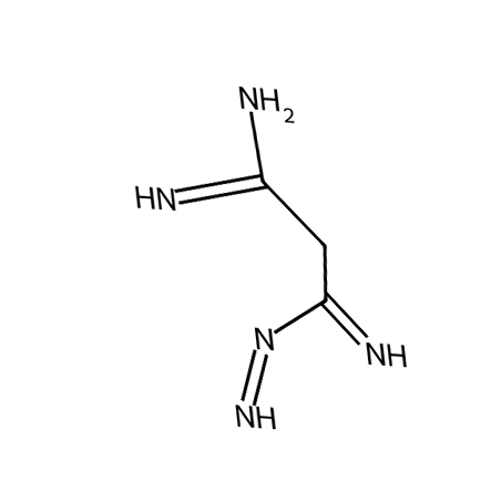 N=NC(=N)CC(=N)N